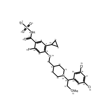 CCS(=O)(=O)NC(=O)c1cc(C2CC2)c(OCC2CCN(C(COC)c3cc(Cl)cc(Cl)c3)CC2)cc1F